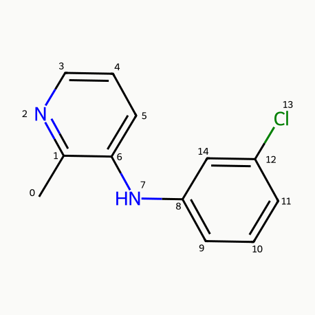 Cc1ncccc1Nc1cccc(Cl)c1